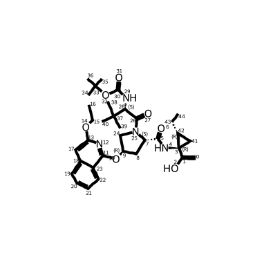 C=C(O)[C@@]1(NC(=O)[C@@H]2C[C@@H](Oc3nc(OCC)cc4ccccc34)CN2C(=O)[C@@H](NC(=O)OC(C)(C)C)C(C)(C)C)C[C@H]1CC